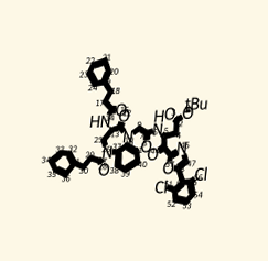 CC(C)(C)OC(=O)CC(NC(=O)CN1C(=O)[C@@H](NC(=O)CCc2ccccc2)CN(C(=O)CCc2ccccc2)c2ccccc21)C(=O)c1ncc(-c2c(Cl)cccc2Cl)o1